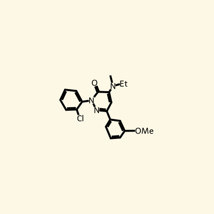 CCN(C)c1cc(-c2cccc(OC)c2)nn(-c2ccccc2Cl)c1=O